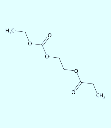 CCOC(=O)OCCOC(=O)CC